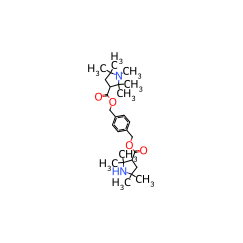 CN1C(C)(C)CC(C(=O)OCc2ccc(COC(=O)C3CC(C)(C)NC3(C)C)cc2)C1(C)C